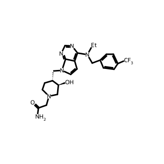 CCN(Cc1ccc(C(F)(F)F)cc1)c1ncnc2c1ccn2C[C@H]1CCN(CC(N)=O)C[C@@H]1O